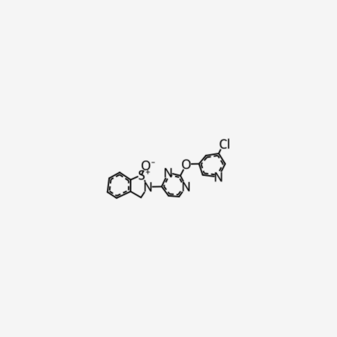 [O-][S+]1c2ccccc2CN1c1ccnc(Oc2cncc(Cl)c2)n1